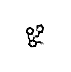 CC(C)Cc1cccc(Cc2ccccc2)c1N=Cc1ccccn1